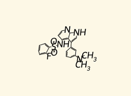 CN(C)c1cccc(-c2c[nH]c3nccc(NS(=O)(=O)c4ccccc4F)c23)c1